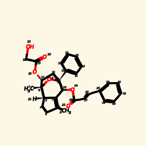 CC1=C2[C@@H](CC1)[C@]1(C)O[C@@](c3ccccc3)(C[C@H]1OC(=O)CO)[C@H]2OC(=O)/C=C/c1ccccc1